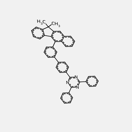 CC1(C)c2ccccc2-c2c1cc1ccccc1c2-c1cccc(-c2ccc(-c3nc(-c4ccccc4)nc(-c4ccccc4)n3)cc2)c1